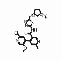 COc1cnc(Cl)cc1-c1cc(C)ncc1C(=O)Nc1nnc(O[C@H]2CC[C@H](OC)C2)s1